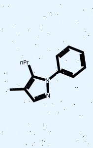 [CH2]c1cnn(-c2ccccc2)c1CCC